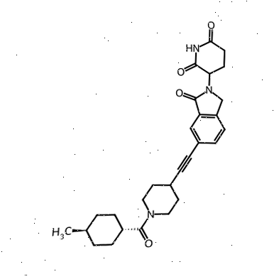 C[C@H]1CC[C@H](C(=O)N2CCC(C#Cc3ccc4c(c3)C(=O)N(C3CCC(=O)NC3=O)C4)CC2)CC1